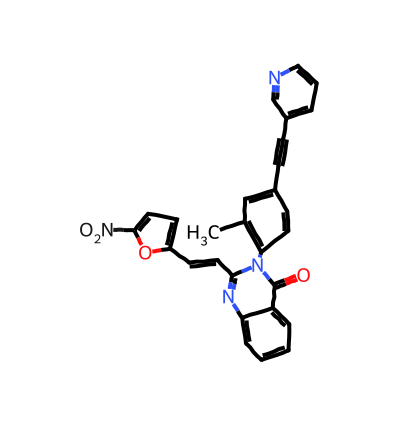 Cc1cc(C#Cc2cccnc2)ccc1-n1c(/C=C/c2ccc([N+](=O)[O-])o2)nc2ccccc2c1=O